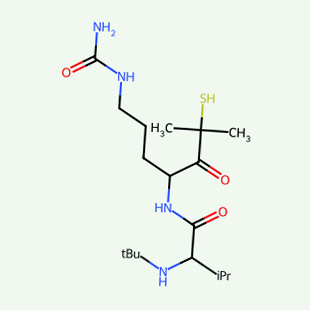 CC(C)C(NC(C)(C)C)C(=O)NC(CCCNC(N)=O)C(=O)C(C)(C)S